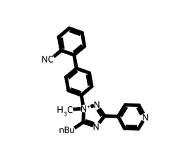 CCCCC1=NC(c2ccncc2)=N[N+]1(C)c1ccc(-c2ccccc2C#N)cc1